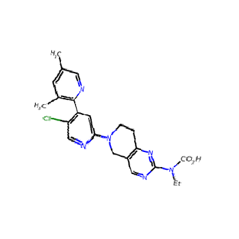 CCN(C(=O)O)c1ncc2c(n1)CCN(c1cc(-c3ncc(C)cc3C)c(Cl)cn1)C2